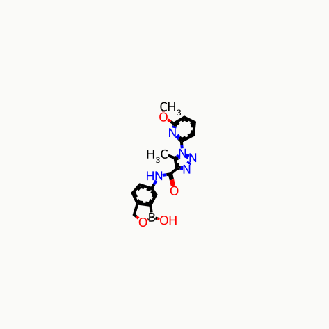 COc1cccc(-n2nnc(C(=O)Nc3ccc4c(c3)B(O)OC4)c2C)n1